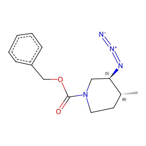 C[C@@H]1CCN(C(=O)OCc2ccccc2)C[C@H]1N=[N+]=[N-]